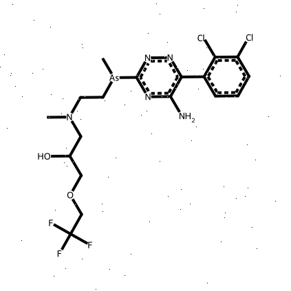 CN(CC[As](C)c1nnc(-c2cccc(Cl)c2Cl)c(N)n1)CC(O)COCC(F)(F)F